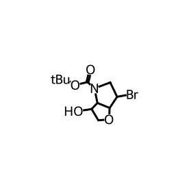 CC(C)(C)OC(=O)N1CC(Br)C2OCC(O)C21